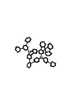 c1ccc(-c2ccc(N(c3ccc(-c4ccccc4-c4ccc5c(c4)c4ccccc4n5-c4cc(-c5ccccc5)cc(-c5ccccc5)c4)cc3)c3ccc4c(c3)C3(c5ccccc5-c5ccccc53)c3ccccc3-4)cc2)cc1